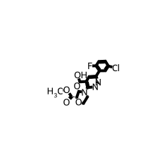 COC(=O)[C@@H]1CN(c2nnc(-c3cc(Cl)ccc3F)cc2C(=O)O)CCO1